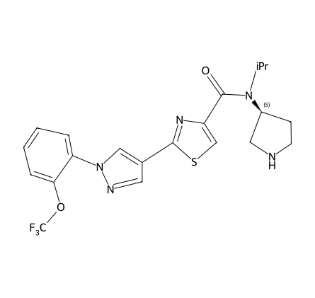 CC(C)N(C(=O)c1csc(-c2cnn(-c3ccccc3OC(F)(F)F)c2)n1)[C@H]1CCNC1